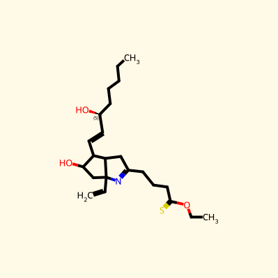 C=CC12CC(O)C(C=C[C@@H](O)CCCCC)C1CC(CCCC(=S)OCC)=N2